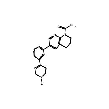 NC(=O)N1CCCc2cc(-c3cncc(C4=CC[S+]([O-])CC4)c3)cnc21